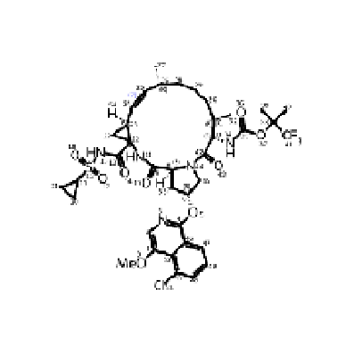 COc1cnc(O[C@@H]2C[C@H]3C(=O)N[C@]4(C(=O)NS(=O)(=O)C5CC5)C[C@H]4/C=C\[C@H](C)CCC[C@@H](C)[C@H](NC(=O)OC(C)(C)C(F)(F)F)C(=O)N3C2)c2cccc(Cl)c12